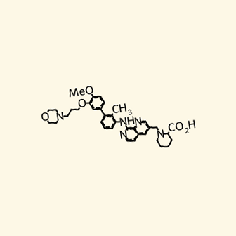 COc1ccc(-c2cccc(Nc3nccc4cc(CN5CCCCC5C(=O)O)cnc34)c2C)cc1OCCCN1CCOCC1